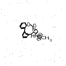 CS(=O)(=O)NC1CCN2C(=O)COc3ccccc3-c3cccc(c3)CC12